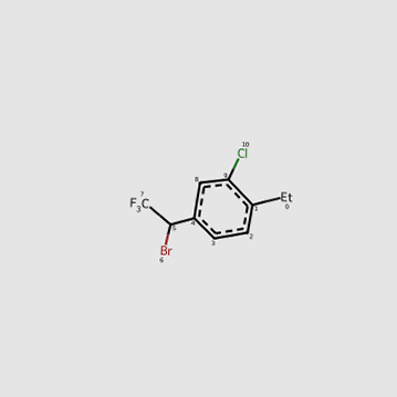 CCc1ccc(C(Br)C(F)(F)F)cc1Cl